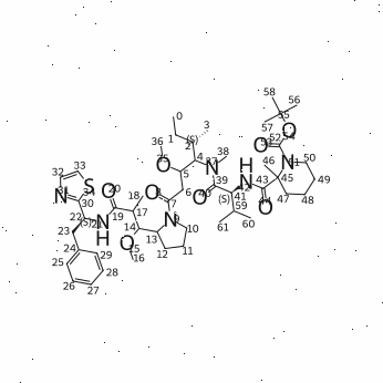 CC[C@H](C)C(C(CC(=O)N1CCCC1C(OC)C(C)C(=O)N[C@@H](Cc1ccccc1)c1nccs1)OC)N(C)C(=O)[C@@H](NC(=O)C1(C)CCCCN1C(=O)OC(C)(C)C)C(C)C